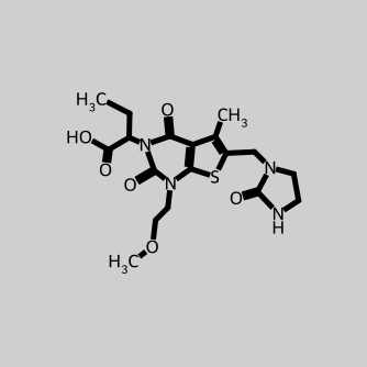 CCC(C(=O)O)n1c(=O)c2c(C)c(CN3CCNC3=O)sc2n(CCOC)c1=O